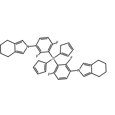 Fc1ccc(-n2cc3c(c2)CCCC3)c(F)[c]1[Ti]([C]1=CC=CC1)([C]1=CC=CC1)[c]1c(F)ccc(-n2cc3c(c2)CCCC3)c1F